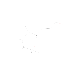 CC1C(CCCO)OC(C)(F)C(F)C1C